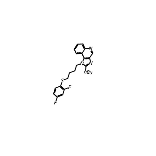 CCCCc1nc2cnc3ccccc3c2n1CCCCSc1ccc(F)cc1F